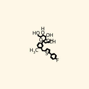 C#CCC1(c2ccc(C)c(Cc3ccc(-c4ccc(F)cc4)s3)c2)OC(CO)C(O)C(O)C1O